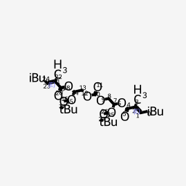 CCC(C)/C=C(\C)C(=O)OC(COC(=O)OCC(OOC(C)(C)C)OC(=O)/C(C)=C/C(C)CC)OOC(C)(C)C